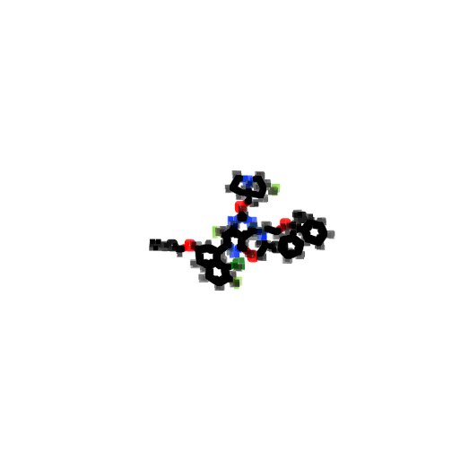 COCOc1cc(-c2nc3c4c(nc(OC[C@@]56CCCN5C[C@H](F)C6)nc4c2F)N(CCO[Si](c2ccccc2)(c2ccccc2)C(C)(C)C)[C@@H](C)CO3)c2c(Cl)c(F)ccc2c1